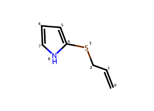 C=CCSc1ccc[nH]1